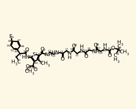 CCC(C(=O)Nc1sc(C(=O)NCCNC(=O)CNC(=O)CNC(=O)CNC(=O)CNC(=O)OC(C)(C)C)c(C)c1C(=O)OC)c1ccc(F)cc1